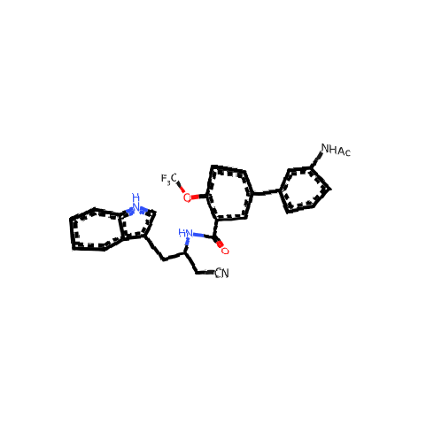 CC(=O)Nc1cccc(-c2ccc(OC(F)(F)F)c(C(=O)NC(CC#N)Cc3c[nH]c4ccccc34)c2)c1